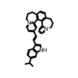 CC(C)c1ccc2c(/C=C/c3cc[n+]4c(c3)-c3c(ccc5c3-c3cccc[n+]3CCC5)CCC4)c[nH]c2c1